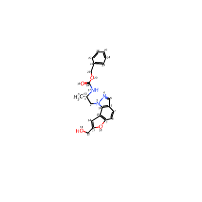 C[C@@H](Cn1ncc2ccc3oc(CO)cc3c21)NC(=O)OCc1ccccc1